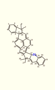 CC1(C)c2ccccc2-c2c1cc1ccc3c4c(cc5ccc2c1c53)C(C)(C)c1cc2ccccc2nc1-4